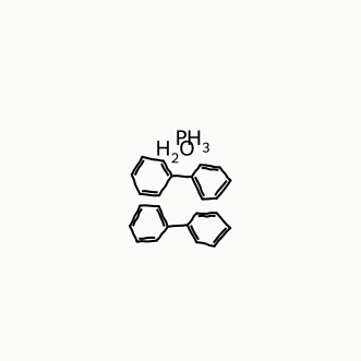 O.P.c1ccc(-c2ccccc2)cc1.c1ccc(-c2ccccc2)cc1